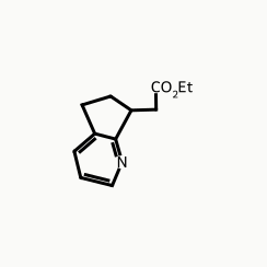 CCOC(=O)CC1CCc2cccnc21